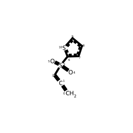 C=C=CS(=O)(=O)c1cccs1